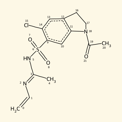 C=C/N=C(\C)NS(=O)(=O)c1cc2c(cc1Cl)CCN2C(C)=O